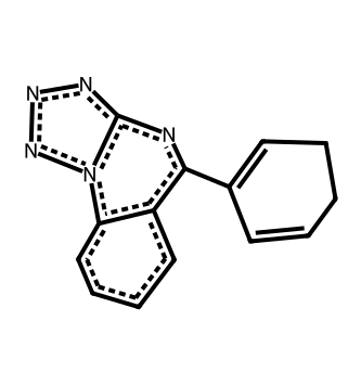 C1=CC(c2nc3nnnn3c3ccccc23)=CCC1